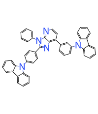 c1ccc(-n2c(-c3ccc(-n4c5ccccc5c5ccccc54)cc3)nc3c(-c4cccc(-n5c6ccccc6c6ccccc65)c4)ccnc32)cc1